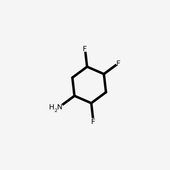 NC1CC(F)C(F)CC1F